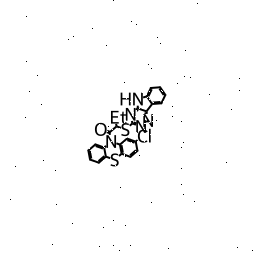 CCC(Sc1nnc2c(n1)[nH]c1ccccc12)C(=O)N1c2ccccc2Sc2ccc(Cl)cc21